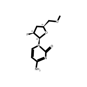 COC[C@@H]1C[C@H](F)[C@H](n2ccc(N)nc2=O)O1